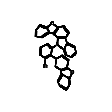 CCc1cccc(-n2c3ccccc3c3ccc4oc5ccccc5c4c32)c1C1C=Cc2oc3ccccc3c2C1